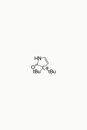 C[C](C)(C)[Ca]1([C](C)(C)C)[CH]=CN[C]1=O